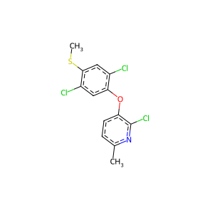 CSc1cc(Cl)c(Oc2ccc(C)nc2Cl)cc1Cl